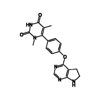 Cc1c(-c2ccc(Oc3ncnc4c3CCN4)cc2)n(C)c(=O)[nH]c1=O